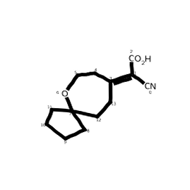 N#CC(C(=O)O)=C1CCOC2(CCCC2)CC1